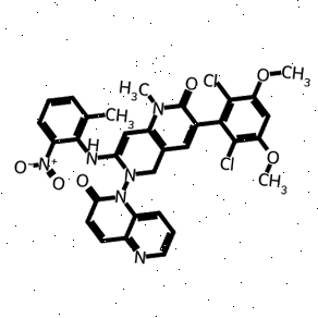 COc1cc(OC)c(Cl)c(-c2cc3c(n(C)c2=O)C=C(Nc2c(C)cccc2[N+](=O)[O-])N(n2c(=O)ccc4ncccc42)C3)c1Cl